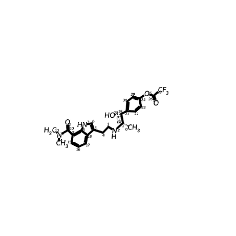 C[C@H](NCCc1c[nH]c2c(C(=O)N(C)C)cccc12)[C@H](O)c1ccc(OC(=O)C(F)(F)F)cc1